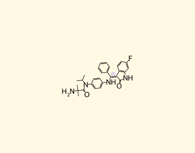 CC(C)N(C(=O)C(C)(C)N)c1ccc(N/C(=C2\C(=O)Nc3cc(F)ccc32)c2ccccc2)cc1